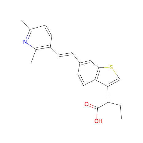 CCC(C(=O)O)c1csc2cc(/C=C/c3ccc(C)nc3C)ccc12